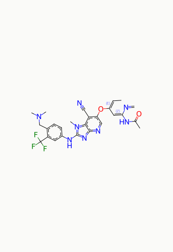 C=N/C(=C\C(=C/C)Oc1cnc2nc(Nc3ccc(CN(C)C)c(C(F)(F)F)c3)n(C)c2c1C#N)NC(C)=O